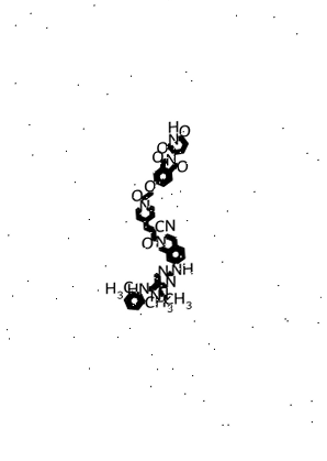 Cc1cccc(C)c1Nc1nn(C)c2nc(Nc3ccc4c(c3)CN(C(=O)/C(C#N)=C/C3CCN(C(=O)COc5ccc6c(c5)C(=O)N(C5CCC(=O)NC5=O)C6=O)CC3)CC4)ncc12